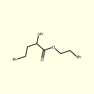 CCCC(CCC(C)C)C(=O)OCCC(C)C